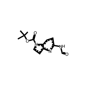 CC(C)(C)OC(=O)n1ccc2nc(NC=O)ccc21